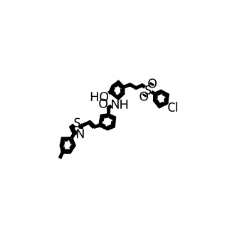 Cc1ccc(-c2csc(C=Cc3cccc(C(=O)Nc4cc(CCCS(=O)(=O)c5ccc(Cl)cc5)ccc4O)c3)n2)cc1